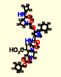 O=C(O)CC[C@H](NC(=O)c1cc(OCC(=O)N2CCC[C@H]2C(=O)NC2CCC2)n(-c2ccccc2)n1)C(=O)N1CCN(OC(=O)Oc2ccccc2)CC1